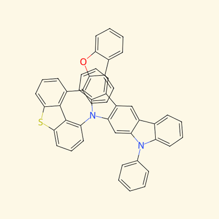 c1ccc(-n2c3ccccc3c3cc4c5ccccc5n(-c5cccc6sc7cccc(-c8cccc9c8oc8ccccc89)c7c56)c4cc32)cc1